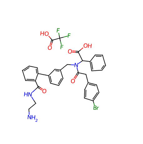 NCCNC(=O)c1ccccc1-c1cccc(CN(C(=O)Cc2ccc(Br)cc2)C(C(=O)O)c2ccccc2)c1.O=C(O)C(F)(F)F